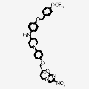 O=[N+]([O-])c1cn2c(n1)O[C@H](COc1ccc(N3CCC(Nc4ccc(OCc5ccc(OC(F)(F)F)cc5)cc4)CC3)cc1)CC2